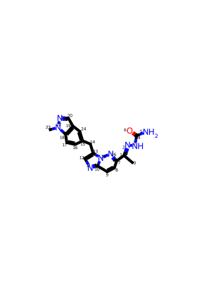 CC(=NNC(N)=O)c1ccc2ncc(Cc3ccc4c(cnn4C)c3)n2n1